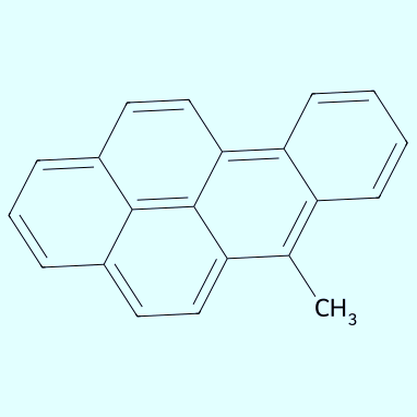 Cc1c2ccccc2c2ccc3cccc4ccc1c2c43